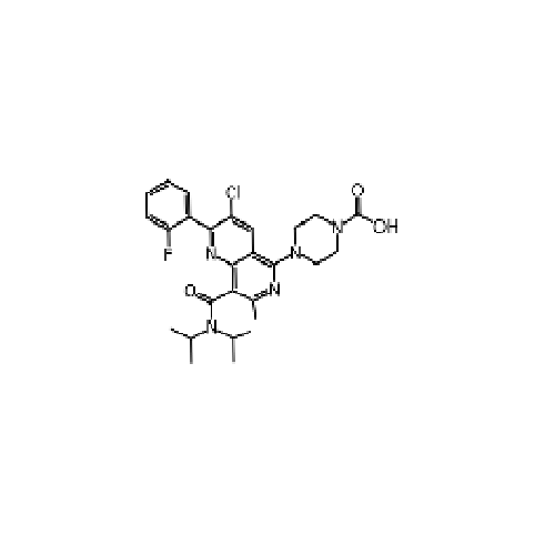 Cc1nc(N2CCN(C(=O)O)CC2)c2cc(Cl)c(-c3ccccc3F)nc2c1C(=O)N(C(C)C)C(C)C